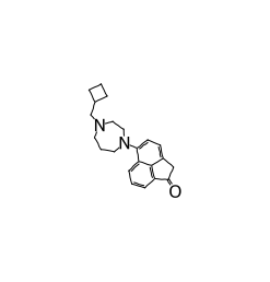 O=C1Cc2ccc(N3CCCN(CC4CCC4)CC3)c3cccc1c23